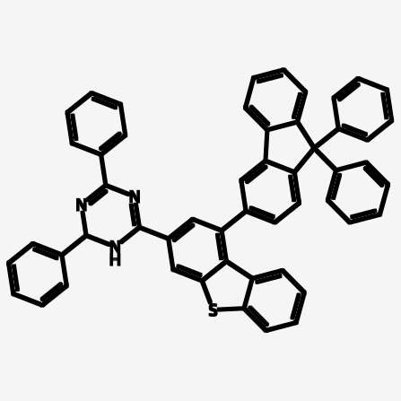 c1ccc(C2=NC(c3ccccc3)NC(c3cc(-c4ccc5c(c4)-c4ccccc4C5(c4ccccc4)c4ccccc4)c4c(c3)sc3ccccc34)=N2)cc1